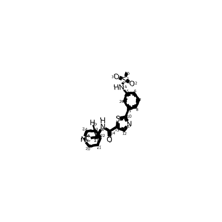 CS(=O)(=O)Nc1cccc(-c2ncc(C(=O)N[C@H]3CN4CCC3CC4)s2)c1